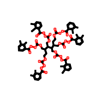 Cc1cccc(C(=O)OOC(=O)OCCC(COC(=O)OOC(=O)c2cccc(C)c2C)C(COC(=O)OOC(=O)c2cccc(C)c2C)C(COC(=O)OOC(=O)c2cccc(C)c2C)C(CCOC(=O)OOC(=O)c2cccc(C)c2C)COC(=O)OOC(=O)c2cccc(C)c2C)c1C